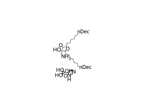 CCCCCCCCCCCCCCCCCC(=O)C(O)(CN)C(=O)CCCCCCCCCCCCCCCCC.O=P(O)(O)O.c1c[nH]cn1